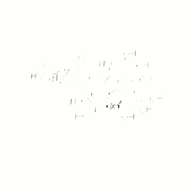 C=C1C[C@]23CC[C@H]4C(C)(C(=O)O)CCC(O)[C@]4(C)[C@H]2CC[C@]1([C@@H]1O[C@H](CO)[C@@H](O)[C@H](O[C@@H]2O[C@H](CO)[C@@H](O)[C@H](O)[C@H]2O)[C@H]1O[C@@H]1O[C@H](CO)[C@@H](O)[C@H](O)[C@H]1O)C3